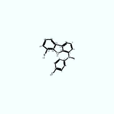 CN(c1ccc(F)cc1)c1cccc2c1oc1c(F)cccc12